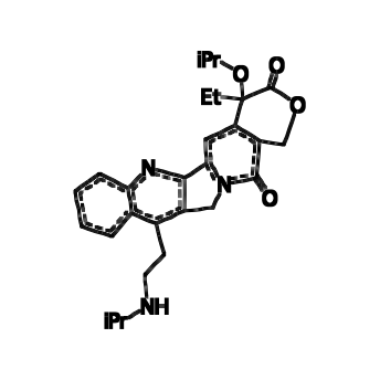 CCC1(OC(C)C)C(=O)OCc2c1cc1n(c2=O)Cc2c-1nc1ccccc1c2CCNC(C)C